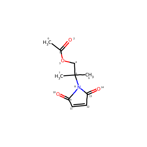 CC(=O)OCC(C)(C)N1C(=O)C=CC1=O